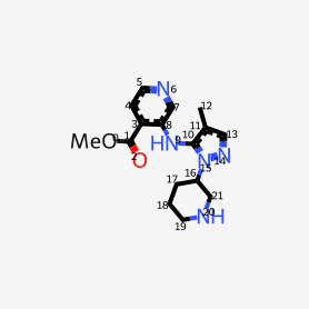 COC(=O)c1ccncc1Nc1c(C)cnn1C1CCCNC1